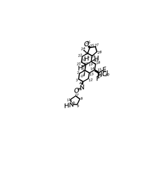 C[C@]12CCC(=NO[C@@H]3CCNC3)CC1C(=C(F)F)C[C@@H]1[C@H]2CC[C@]2(C)C(=O)CC[C@@H]12.Cl